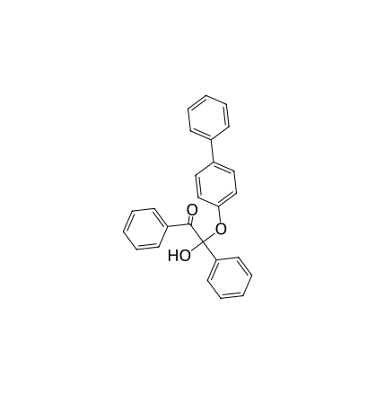 O=C(c1ccccc1)C(O)(Oc1ccc(-c2ccccc2)cc1)c1ccccc1